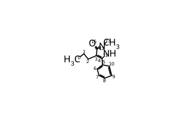 CCCc1c(-c2ccccc2)[nH]n(C)c1=O